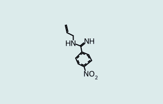 C=CCNC(=N)c1ccc([N+](=O)[O-])cc1